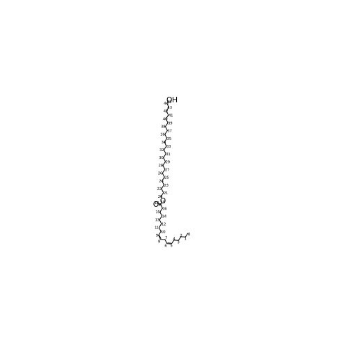 CCCCC/C=C\C/C=C\CCCCCCCC(=O)OCCCCCCCCCCCCCCCCCCCCCCCCCO